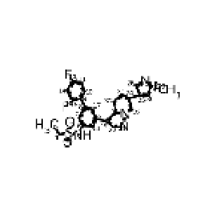 CCS(=O)(=O)Nc1cc(-c2ccc(F)cc2F)cc(-c2cnn3cc(-c4cnn(C)c4)ccc23)c1